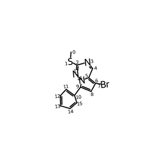 CSc1ncc2c(Br)cc(-c3ccccc3)n2n1